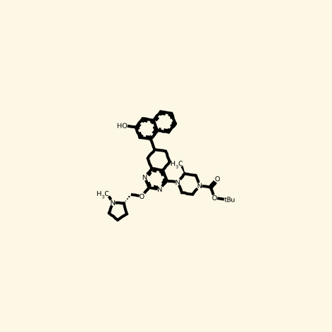 C[C@H]1CN(C(=O)OC(C)(C)C)CCN1c1nc(OC[C@@H]2CCCN2C)nc2c1CCC(c1cc(O)cc3ccccc13)C2